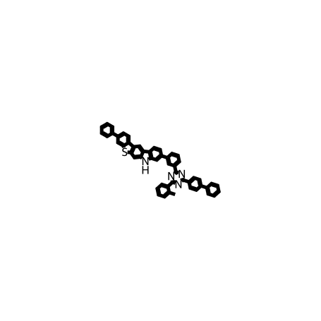 Cc1ccccc1-c1nc(-c2ccc(-c3ccccc3)cc2)nc(-c2cccc(-c3ccc4c(c3)[nH]c3cc5sc6cc(-c7ccccc7)ccc6c5cc34)c2)n1